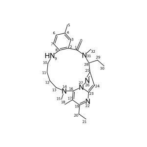 C=C1c2cc(C)ccc2NCCCCN(C)c2c(C)c(CC)nc3cc(nn23)C(CC)N1C